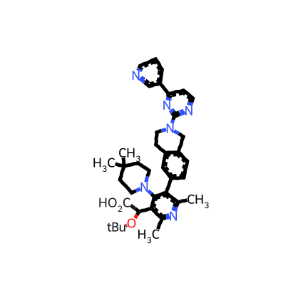 Cc1nc(C)c(C(OC(C)(C)C)C(=O)O)c(N2CCC(C)(C)CC2)c1-c1ccc2c(c1)CCN(c1nccc(-c3cccnc3)n1)C2